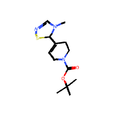 CN1C=NSC1C1=CCN(C(=O)OC(C)(C)C)CC1